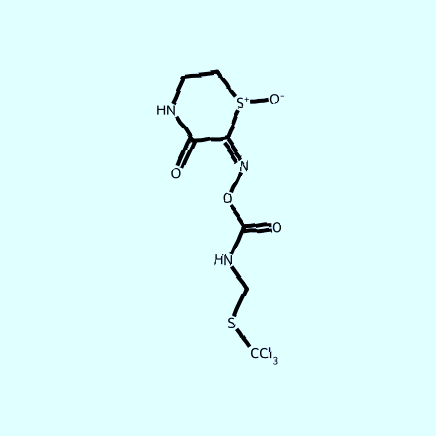 O=C(NCSC(Cl)(Cl)Cl)ON=C1C(=O)NCC[S+]1[O-]